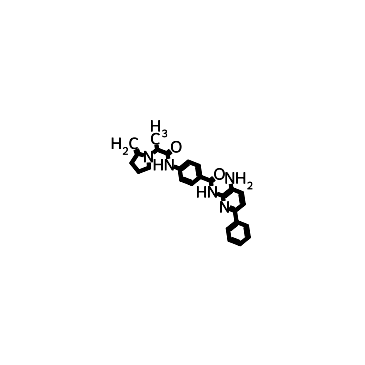 C=C1CCCN1C(C)C(=O)Nc1ccc(C(=O)Nc2nc(-c3ccccc3)ccc2N)cc1